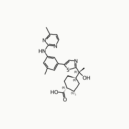 Cc1cc(Nc2nccc(C)n2)cc(-c2cnc([C@](C)(O)[C@@H]3CC[C@@H](C(=O)O)[C@@H](C)C3)s2)c1